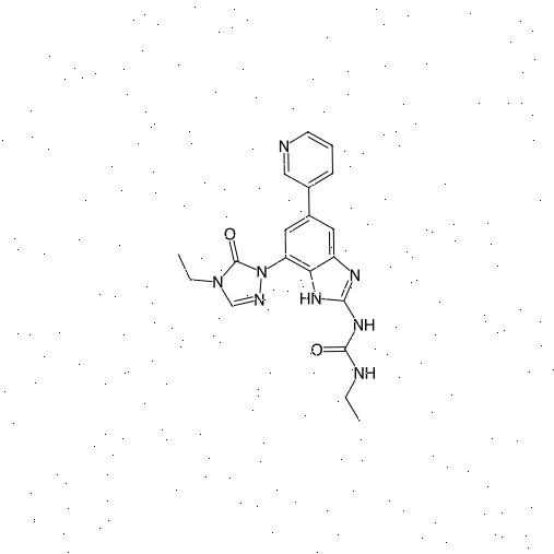 CCNC(=O)Nc1nc2cc(-c3cccnc3)cc(-n3ncn(CC)c3=O)c2[nH]1